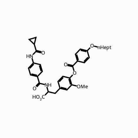 CCCCCCCOc1ccc(C(=O)Oc2ccc(CC(NC(=O)c3ccc(NC(=O)C4CC4)cc3)C(=O)O)cc2OC)cc1